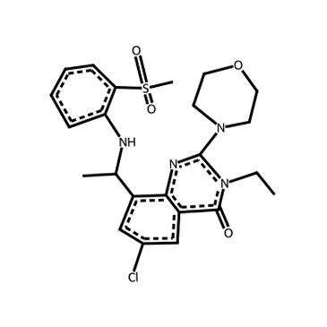 CCn1c(N2CCOCC2)nc2c(C(C)Nc3ccccc3S(C)(=O)=O)cc(Cl)cc2c1=O